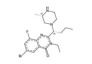 CCC[C@H](c1nc2c(F)cc(Br)cc2c(=O)n1CC)N1CCN[C@@H](C)C1